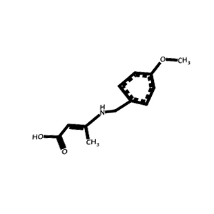 COc1ccc(CN/C(C)=C/C(=O)O)cc1